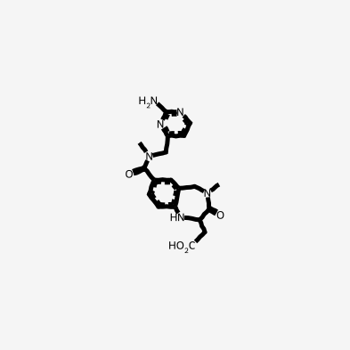 CN(Cc1ccnc(N)n1)C(=O)c1ccc2c(c1)CN(C)C(=O)C(CC(=O)O)N2